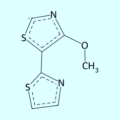 COc1n[c]sc1-c1nccs1